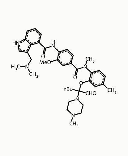 CCCCC(C=O)(Oc1cc(C)ccc1N(C)C(=O)c1ccc(NC(=O)c2cccc3[nH]cc(CN(C)C)c23)c(OC)c1)N1CCN(C)CC1